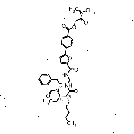 CCCCC[C@@H](C(=O)NCNC(=O)c1ccc(-c2ccc(C(=O)OCC(=O)N(C)C)cc2)o1)[C@@H](CC)N(C=O)OCc1ccccc1